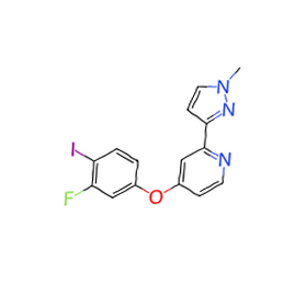 Cn1ccc(-c2cc(Oc3ccc(I)c(F)c3)ccn2)n1